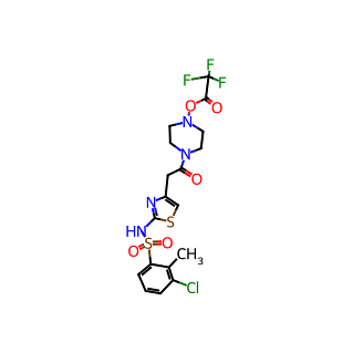 Cc1c(Cl)cccc1S(=O)(=O)Nc1nc(CC(=O)N2CCN(OC(=O)C(F)(F)F)CC2)cs1